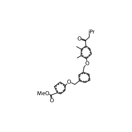 COC(=O)c1ccc(OCc2cccc(COc3ccc(C(=O)CC(C)C)c(C)c3C)c2)cc1